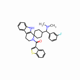 CN(C)C(c1cccc(F)c1)C1CCC2(CC1)c1[nH]c3ccccc3c1CCN2C(=O)c1csc2ccccc12